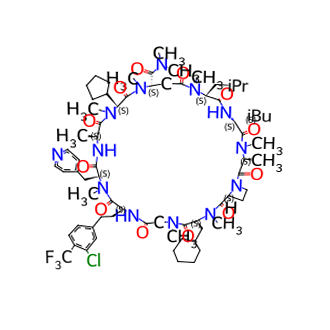 CC[C@H](C)[C@@H]1NC(=O)[C@H](CC(C)C)N(C)C(=O)C[C@@H](C(=O)N(C)C)N(C)C(=O)[C@H](C2CCCC2)N(C)C(=O)[C@H](C)NC(=O)[C@H](Cc2ccncc2)N(C)C(=O)[C@H](CCc2ccc(C(F)(F)F)c(Cl)c2)NC(=O)CN(C)C(=O)[C@H](CC2CCCCC2)N(C)C(=O)[C@@H]2CCN2C(=O)[C@H](C)N(C)C1=O